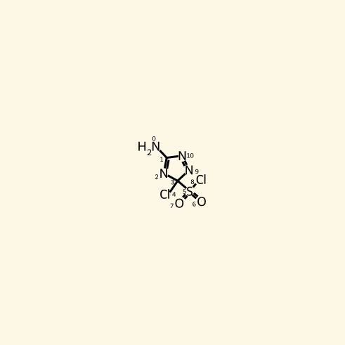 NC1=NC(Cl)(S(=O)(=O)Cl)N=N1